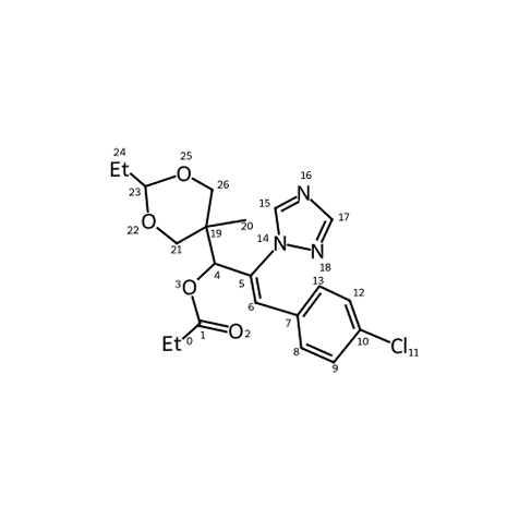 CCC(=O)OC(C(=Cc1ccc(Cl)cc1)n1cncn1)C1(C)COC(CC)OC1